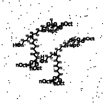 CCCCCCCCOC(CCCCCCC)O[Si](C)(C)OCCCCCCN(CCCCO)CCCCCCCC(=O)OC(CCCCCCCC)CCCCCCCC.CCCCCCCCOC(CCCCCCC)O[Si](C)(C)OCCCCCCN(CCCCO)CCCCCCCC(=O)OC(CCCCCCCC)CCCCCCCC